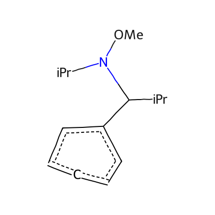 CON(C(C)C)C(c1ccccc1)C(C)C